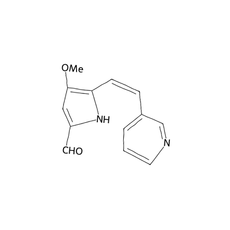 COc1cc(C=O)[nH]c1/C=C\c1cccnc1